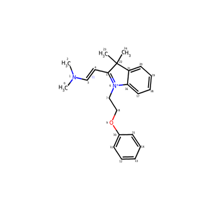 CN(C)/C=C/C1=[N+](CCOc2ccccc2)c2ccccc2C1(C)C